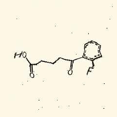 O=C(O)CCCC(=O)c1ccccc1F